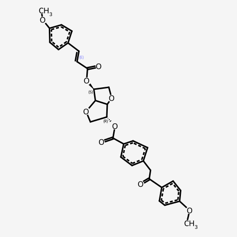 COc1ccc(/C=C/C(=O)O[C@H]2COC3C2OC[C@H]3OC(=O)c2ccc(CC(=O)c3ccc(OC)cc3)cc2)cc1